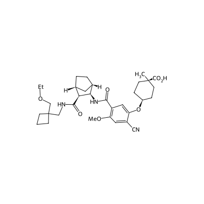 CCOCC1(CNC(=O)[C@H]2[C@@H]3CC[C@@H](C3)[C@H]2NC(=O)c2cc(O[C@H]3CC[C@@](C)(C(=O)O)CC3)c(C#N)cc2OC)CCC1